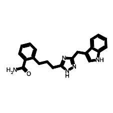 NC(=O)c1ccccc1CC[CH]c1nc(Cc2c[nH]c3ccccc23)n[nH]1